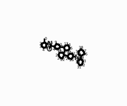 Cc1cccc2oc(-c3ccc(-c4ccccc4-c4ccccc4-c4ccc(-n5c6ccccc6c6ccccc65)cc4)cc3)nc12